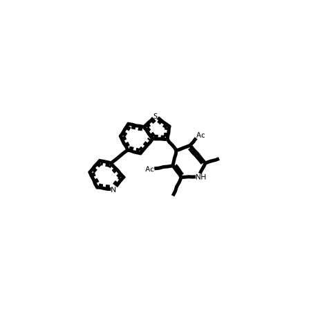 CC(=O)C1=C(C)NC(C)=C(C(C)=O)C1c1csc2ccc(-c3cccnc3)cc12